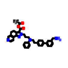 NCc1cccc(-c2ccc(CCN(CCCn3nc4c(c3C(=O)OC(=O)C(F)(F)F)CCc3cnccc3-4)c3ccccc3)cc2)c1